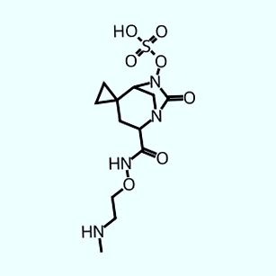 CNCCONC(=O)C1CC2(CC2)C2CN1C(=O)N2OS(=O)(=O)O